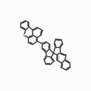 c1ccc2c(c1)Sc1ccc(-c3ccc4c(c3)-c3ccccc3C43c4ccccc4-c4cc5ccccc5cc43)c3cccc-2c13